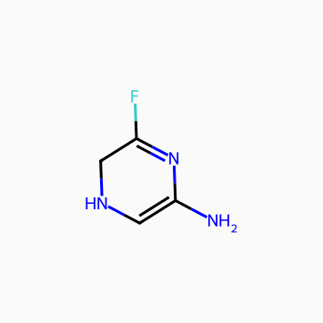 NC1=CNCC(F)=N1